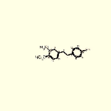 NN1CC(CCc2ccc(F)cc2)=CC=C1C(=O)O